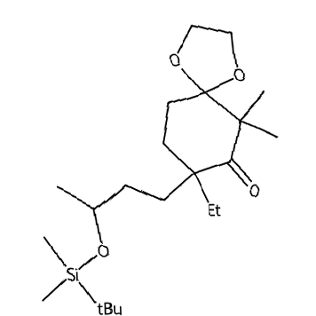 CCC1(CCC(C)O[Si](C)(C)C(C)(C)C)CCC2(OCCO2)C(C)(C)C1=O